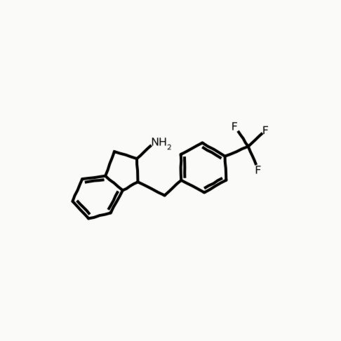 NC1Cc2ccccc2C1Cc1ccc(C(F)(F)F)cc1